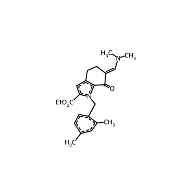 CCOC(=O)c1cc2c(n1Cc1ccc(C)cc1C)C(=O)C(=CN(C)C)CC2